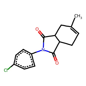 CC1=CCC2C(=O)N(c3ccc(Cl)cc3)C(=O)C2C1